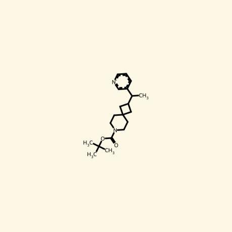 CC(c1cccnc1)C1CC2(CCN(C(=O)OC(C)(C)C)CC2)C1